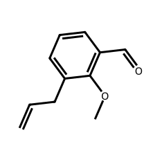 C=CCc1cccc(C=O)c1OC